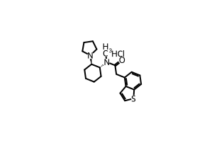 CN(C(=O)Cc1cccc2sccc12)[C@@H]1CCCC[C@H]1N1CCCC1.Cl